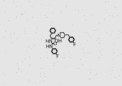 O=C(Nc1ccc(F)cc1)N[C@@H](Cc1ccccc1)[C@@H](O)CN1CCC(Cc2ccc(F)cc2)CC1